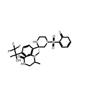 CC1CNC(=O)CN1C[C@@]1(c2ccc(C(C)(O)C(F)(F)F)cc2)CN(S(=O)(=O)C2=CC=CCC2=S)CCN1